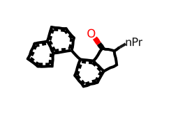 CCCC1Cc2cccc(-c3cccc4ccccc34)c2C1=O